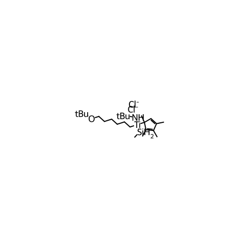 C[SiH2][Ti]([CH2]CCCCCOC(C)(C)C)([NH]C(C)(C)C)[C]1(C)C=C(C)C(C)=C1C.[Cl-].[Cl-]